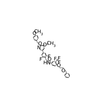 CCOc1cc(-c2cc(F)c(CC(=O)Nc3ccc(OCCOCc4ccccc4)c(C(F)(F)F)c3)c(F)c2)cnc1OCc1ccc(OC)cc1